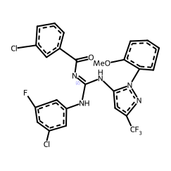 COc1ccccc1-n1nc(C(F)(F)F)cc1N/C(=N\C(=O)c1cccc(Cl)c1)Nc1cc(F)cc(Cl)c1